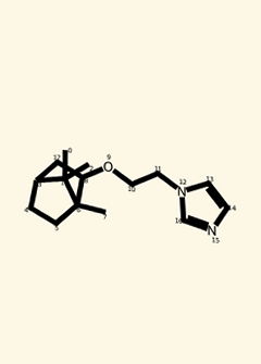 CC1(C)C2CCC1(C)C(OCCn1ccnc1)C2